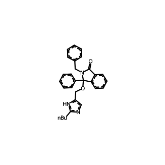 CCCCc1ncc(COC2(c3ccccc3)c3ccccc3C(=O)N2Cc2ccccc2)[nH]1